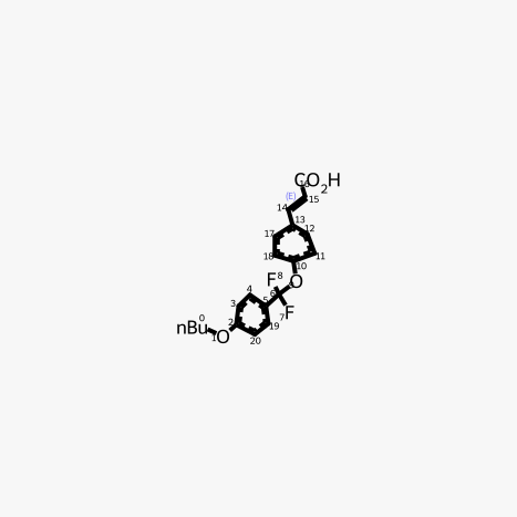 CCCCOc1ccc(C(F)(F)Oc2ccc(/C=C/C(=O)O)cc2)cc1